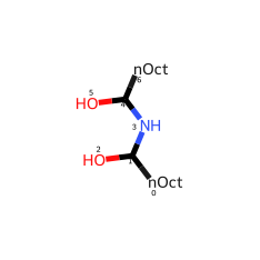 CCCCCCCCC(O)NC(O)CCCCCCCC